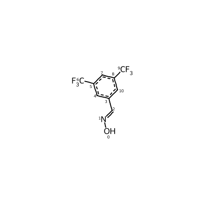 ON=Cc1cc(C(F)(F)F)cc(C(F)(F)F)c1